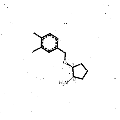 Cc1ccc(CO[C@H]2CCC[C@@H]2N)cc1C